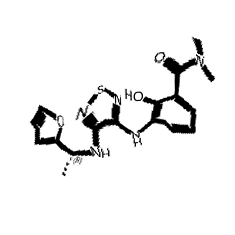 C[C@@H](Nc1nsnc1Nc1cccc(C(=O)N(C)C)c1O)c1ccco1